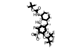 CC(C)(C)OC(=O)N[C@H]1CSC[C@@H](Cc2cc(F)c([N+](=O)[O-])c(OC(C(F)(F)F)C(F)(F)F)c2)[C@@H]1O